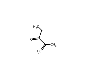 C=C(C)C(=O)[CH]C